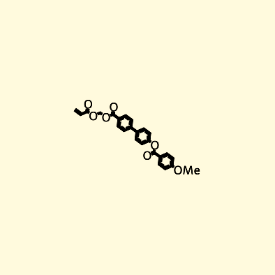 C=CC(=O)OCOC(=O)c1ccc(-c2ccc(OC(=O)c3ccc(OC)cc3)cc2)cc1